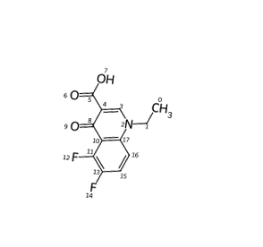 CCn1cc(C(=O)O)c(=O)c2c(F)c(F)ccc21